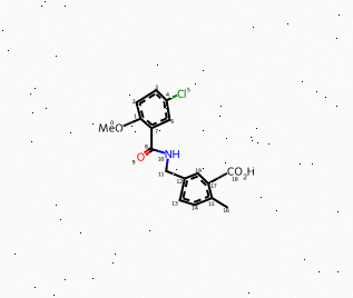 COc1ccc(Cl)cc1C(=O)NCc1ccc(C)c(C(=O)O)c1